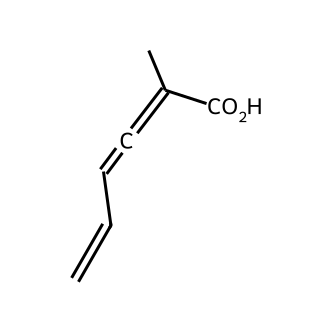 C=CC=C=C(C)C(=O)O